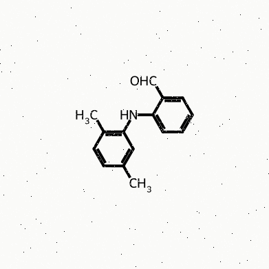 Cc1ccc(C)c(Nc2ccccc2C=O)c1